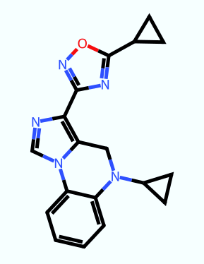 c1ccc2c(c1)N(C1CC1)Cc1c(-c3noc(C4CC4)n3)ncn1-2